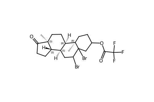 C[C@]12CC[C@@H]3[C@@H](CC(Br)C4(Br)CC(OC(=O)C(F)(F)F)CC[C@]34C)[C@@H]1CCC2=O